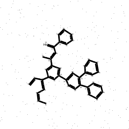 C=C/C(=C\C=C/C)c1cc(/C(C)=C/C(=N)c2ccccc2)cc(-c2ccc(-c3ccccc3)c(-c3ccccc3)c2)c1